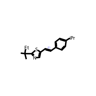 CCC(C)(C)c1ncc(/C=C/c2ccc(C(C)C)cc2)s1